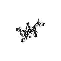 C=C(C)OC(=O)NC(C)(C)CNCC1=CC[C@@H](NC(=O)OC(C)(C)C)[C@@H](C2[C@@H](NC(=O)OC(C)(C)C)C[C@@H](NC(=O)[C@@H](O)CNC(=O)OC(C)(C)C)[C@H](O[C@H]3OC[C@](C)(O)[C@H](N(C)C(=O)OC(C)(C)C)[C@H]3O)[C@H]2O)O1